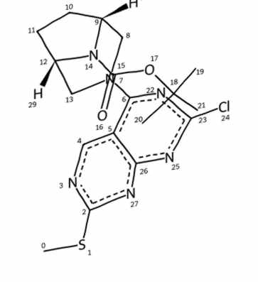 CSc1ncc2c(N3C[C@H]4CC[C@@H](C3)N4C(=O)OC(C)(C)C)nc(Cl)nc2n1